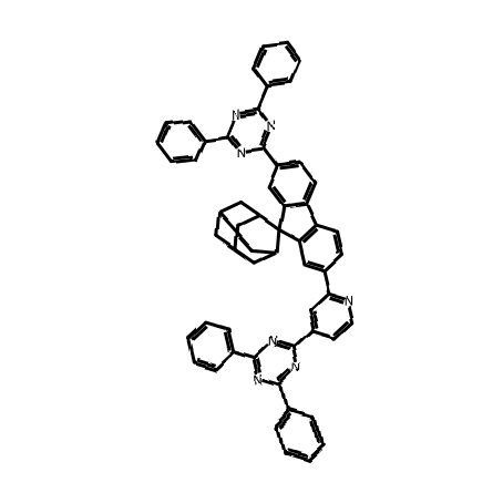 c1ccc(-c2nc(-c3ccccc3)nc(-c3ccnc(-c4ccc5c(c4)C4(c6cc(-c7nc(-c8ccccc8)nc(-c8ccccc8)n7)ccc6-5)C5CC6CC(C5)CC4C6)c3)n2)cc1